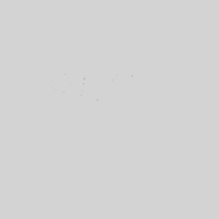 CCCCCCCCOC(=O)C(C/C=C/N(CC)CC)S(=O)(=O)c1ccccc1